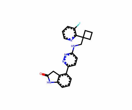 O=C1Cc2c(cccc2-c2ccc(NCC3(c4ncccc4F)CCC3)nn2)N1